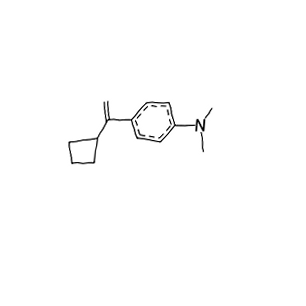 C=C(c1ccc(N(C)C)cc1)C1CCC1